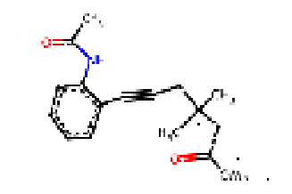 COC(=O)CC(C)(C)CC#Cc1ccccc1NC(=O)C(F)(F)F